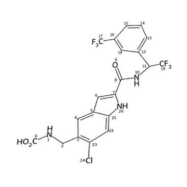 O=C(O)NCc1cc2cc(C(=O)NC(c3cccc(C(F)(F)F)c3)C(F)(F)F)[nH]c2cc1Cl